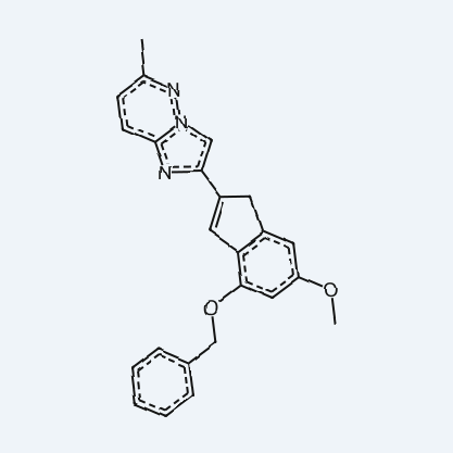 COc1cc2c(c(OCc3ccccc3)c1)C=C(c1cn3nc(C)ccc3n1)C2